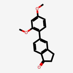 COc1ccc(-c2ccc3c(c2)CCC3=O)c(OC)c1